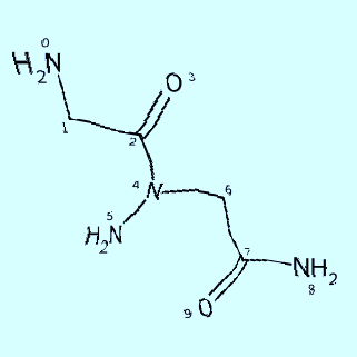 NCC(=O)N(N)CC(N)=O